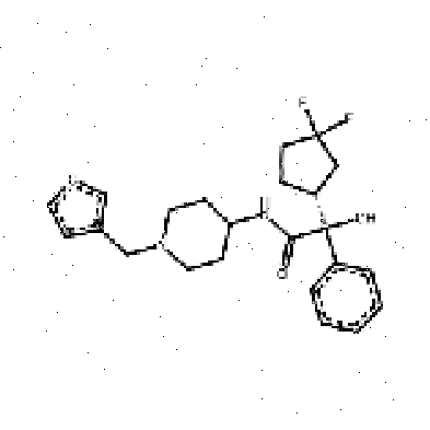 O=C(NC1CCN(Cc2ccoc2)CC1)C(O)(c1ccccc1)[C@@H]1CCC(F)(F)C1